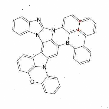 c1ccc(-c2ccccc2B2c3ccccc3-n3c4c2cc2c(c5cccc6oc7ccccc7n2c65)c4n2c4ccccc4nc32)cc1